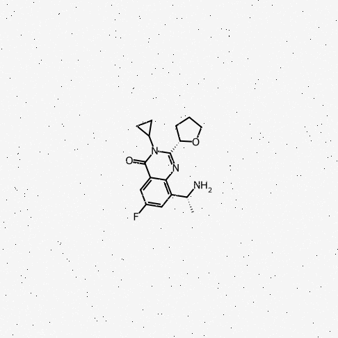 C[C@@H](N)c1cc(F)cc2c(=O)n(C3CC3)c([C@@H]3CCCO3)nc12